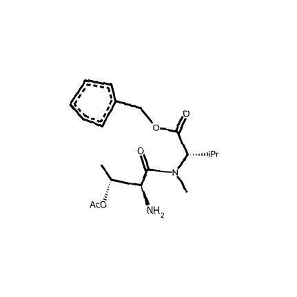 CC(=O)O[C@H](C)[C@H](N)C(=O)N(C)[C@H](C(=O)OCc1ccccc1)C(C)C